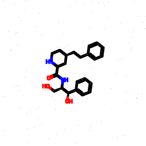 O=C(N[C@H](CO)[C@H](O)c1ccccc1)C1C[C@H](CCc2ccccc2)CCN1